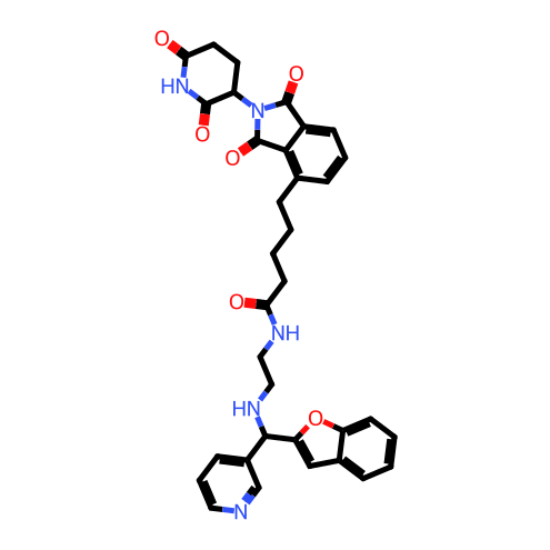 O=C(CCCCc1cccc2c1C(=O)N(C1CCC(=O)NC1=O)C2=O)NCCNC(c1cccnc1)c1cc2ccccc2o1